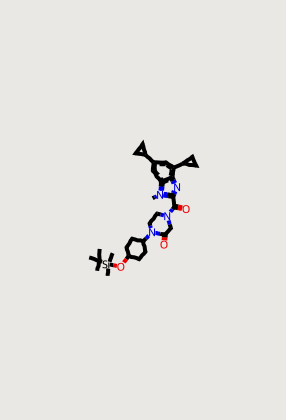 Cn1c(C(=O)N2CCN(C3CCC(O[Si](C)(C)C(C)(C)C)CC3)C(=O)C2)nc2c(C3CC3)cc(C3CC3)cc21